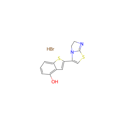 Br.Oc1cccc2sc(C3=CSC4=NCCN34)cc12